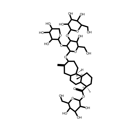 C=C1CC2CCC3[C@](C)(C(=O)OC4OC(CO)C(O)C(O)C4O)CCC[C@@]3(C)[C@@H]2CCC1OC1OC(CO)C(O)C(OC2OC(CO)C(O)C(O)C2O)C1OC1OCC(O)C(O)C1O